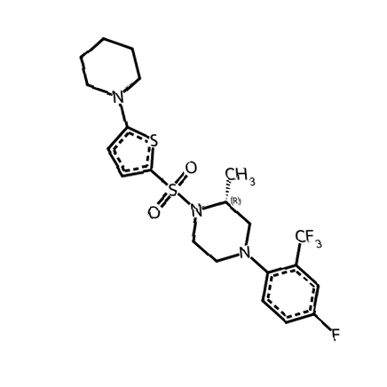 C[C@@H]1CN(c2ccc(F)cc2C(F)(F)F)CCN1S(=O)(=O)c1ccc(N2CCCCC2)s1